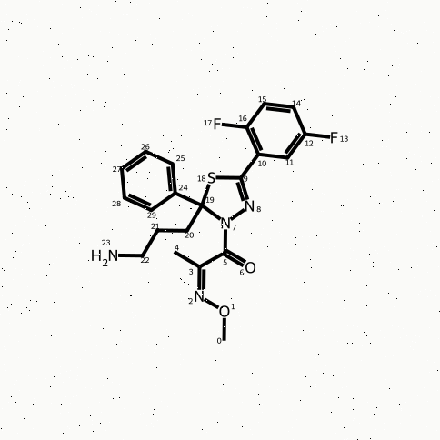 CO/N=C(/C)C(=O)N1N=C(c2cc(F)ccc2F)SC1(CCCN)c1ccccc1